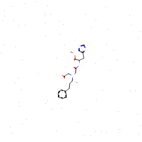 COC(=O)C(Cc1c[nH]cn1)NC(=O)CN(CC(=O)O)[C@@H](C)CCc1ccccc1